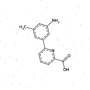 Cc1cc(N)cc(-c2cccc(C(=O)O)n2)c1